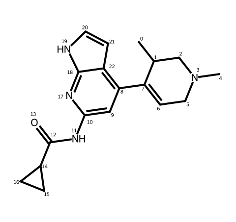 CC1CN(C)CC=C1c1cc(NC(=O)C2CC2)nc2[nH]ccc12